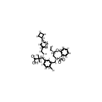 CC[C@@H]1CN(Cc2cc([C@@H](CCc3cn(C4CCC4)nn3)C(C)(C)C(=O)O)ccc2C)S(=O)(=O)c2ccccc2O1